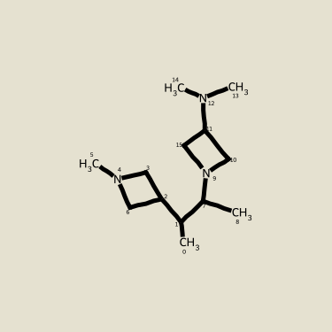 CC(C1CN(C)C1)C(C)N1CC(N(C)C)C1